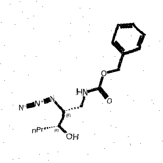 CCC[C@@H](O)[C@@H](CNC(=O)OCc1ccccc1)N=[N+]=[N-]